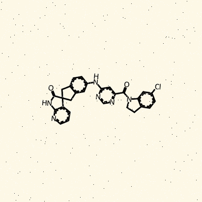 O=C(c1cc(Nc2ccc3c(c2)CC2(C3)C(=O)Nc3ncccc32)ncn1)N1CCc2ccc(Cl)cc21